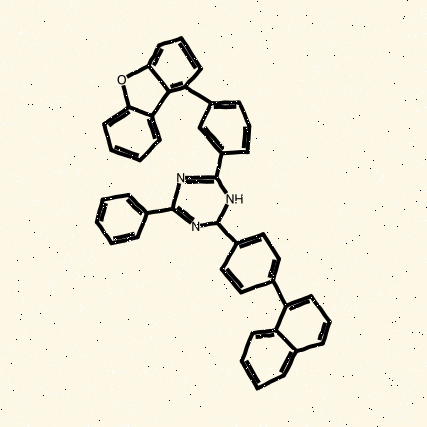 c1ccc(C2=NC(c3ccc(-c4cccc5ccccc45)cc3)NC(c3cccc(-c4cccc5oc6ccccc6c45)c3)=N2)cc1